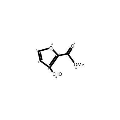 COC(=O)c1occc1C=O